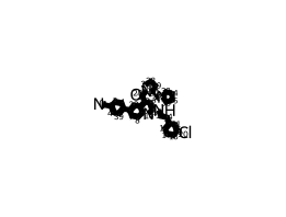 N#Cc1ccc(-c2ccc3nc(NCCc4cccc(Cl)c4)cc(C(=O)N4CCC[C@H]4CN4CCCC4)c3c2)cc1